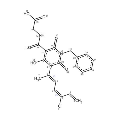 C=C/C(Cl)=C\C=C(/C)n1c(O)c(C(=O)NCC(=O)O)c(=O)n(Cc2ccccc2)c1=O